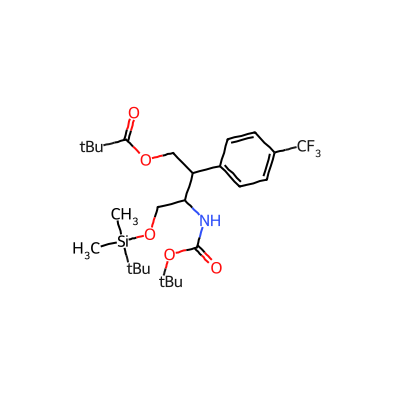 CC(C)(C)OC(=O)NC(CO[Si](C)(C)C(C)(C)C)C(COC(=O)C(C)(C)C)c1ccc(C(F)(F)F)cc1